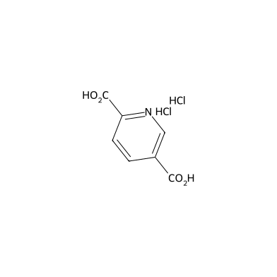 Cl.Cl.O=C(O)c1ccc(C(=O)O)nc1